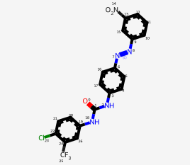 O=C(Nc1ccc(/N=N/c2cccc([N+](=O)[O-])c2)cc1)Nc1ccc(Cl)c(C(F)(F)F)c1